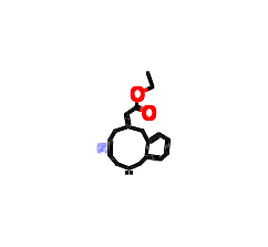 CCOC(=O)C=C1C/C=C\C[C]Cc2ccccc2C1